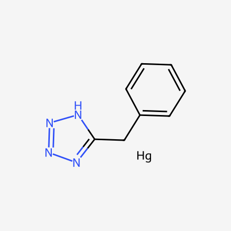 [Hg].c1ccc(Cc2nnn[nH]2)cc1